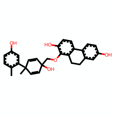 Cc1ccc(O)cc1C1(C)C=CC(O)(COc2c(O)ccc3c2CCc2cc(O)ccc2-3)C=C1